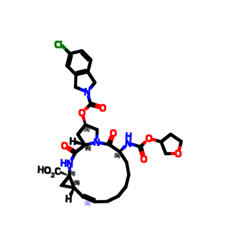 O=C(N[C@H]1CCCCC/C=C\[C@@H]2C[C@@]2(C(=O)O)NC(=O)[C@@H]2C[C@@H](OC(=O)N3Cc4ccc(Cl)cc4C3)CN2C1=O)OC1CCOC1